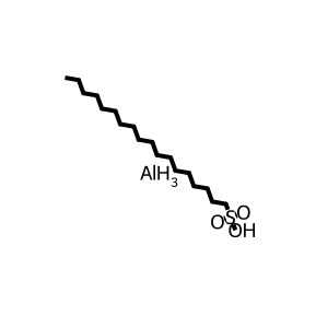 CCCCCCCCCCCCCCCCCCS(=O)(=O)O.[AlH3]